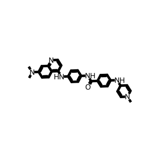 CN1C=CC(Nc2ccc(C(=O)Nc3ccc(Nc4ccnc5cc(N(C)C)ccc45)cc3)cc2)C=C1